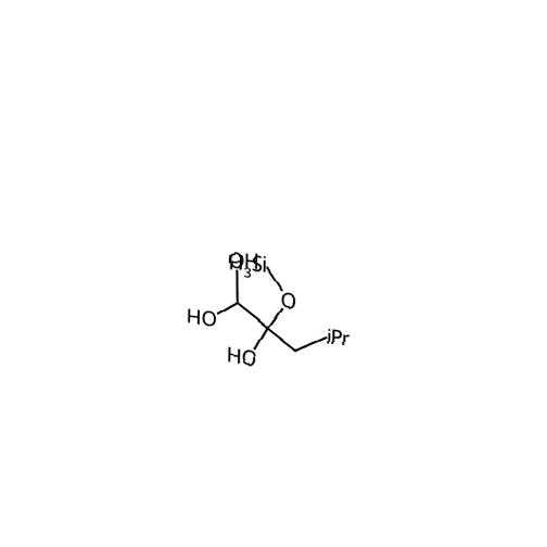 CC(C)CC(O)(O[SiH3])C(O)O